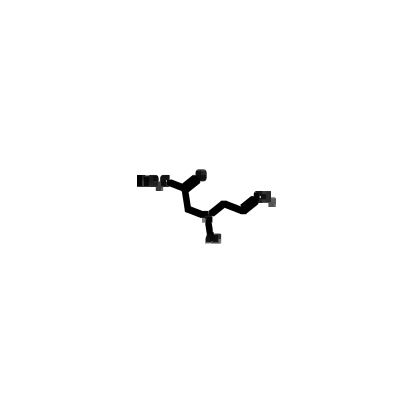 C=CCN(CC(=O)C(=O)OCC)C(C)=O